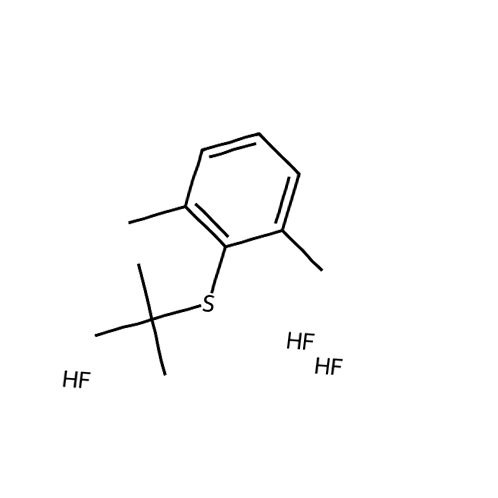 Cc1cccc(C)c1SC(C)(C)C.F.F.F